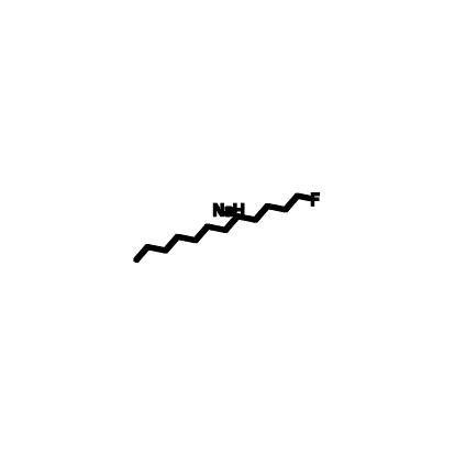 CCCCCCCCCCCCF.[NaH]